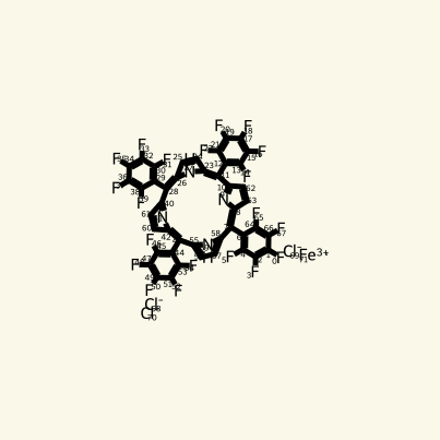 Fc1c(F)c(F)c(-c2c3nc(c(-c4c(F)c(F)c(F)c(F)c4F)c4ccc([nH]4)c(-c4c(F)c(F)c(F)c(F)c4F)c4nc(c(-c5c(F)c(F)c(F)c(F)c5F)c5ccc2[nH]5)C=C4)C=C3)c(F)c1F.[Cl-].[Cl-].[Cl-].[Fe+3]